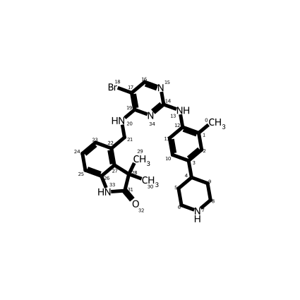 Cc1cc(C2CCNCC2)ccc1Nc1ncc(Br)c(NCc2cccc3c2C(C)(C)C(=O)N3)n1